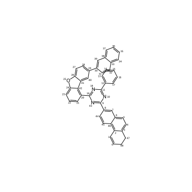 C1=Cc2c(ccc3cc(-c4nc(-c5ccccc5)nc(-c5cccc6oc7ccc(-c8ccc9ccccc9c8)cc7c56)n4)ccc23)CC1